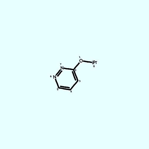 CC(C)Oc1cc[c]nn1